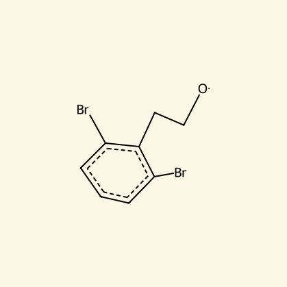 [O]CCc1c(Br)cccc1Br